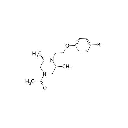 CC(=O)N1C[C@@H](C)N(CCOc2ccc(Br)cc2)[C@@H](C)C1